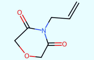 C=CCN1C(=O)COCC1=O